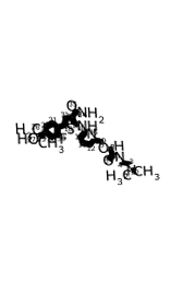 CN(C)CCNC(=O)COCc1cccc(Nc2sc(-c3ccc(C(C)(C)O)cc3F)cc2C(N)=O)n1